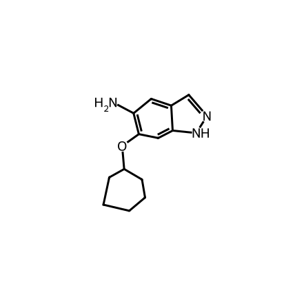 Nc1cc2cn[nH]c2cc1OC1CCCCC1